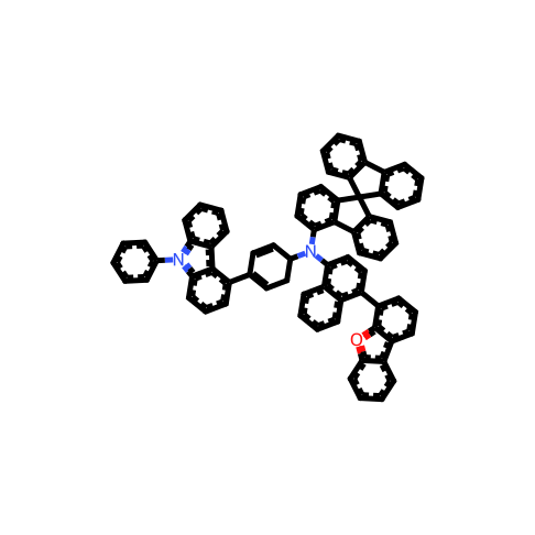 C1=CC(N(c2cccc3c2-c2ccccc2C32c3ccccc3-c3ccccc32)c2ccc(-c3cccc4c3oc3ccccc34)c3ccccc23)CC=C1c1cccc2c1c1ccccc1n2-c1ccccc1